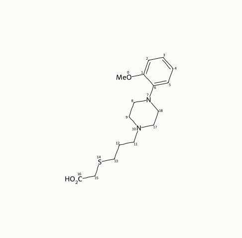 COc1ccccc1N1CCN(CCCSCC(=O)O)CC1